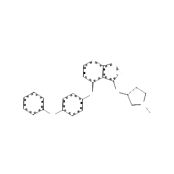 CN1CCC(Nc2n[nH]c3nccc(Oc4ccc(Oc5ccccc5)cc4)c23)C1